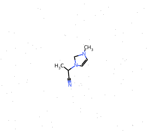 CC(C#N)N1C=CN(C)C1